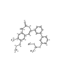 CC(C)CN(C)Cc1cc(-c2cccc(C3=Nc4cc(OCC(F)(F)F)c(C(F)(F)F)cc4NC(=O)C3)c2)ccn1